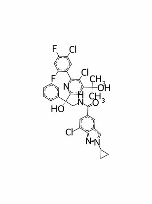 CC(C)(O)c1cc([C@@](O)(CNC(=O)c2cc(Cl)c3nn(C4CC4)cc3c2)c2ccccc2)nc(-c2cc(Cl)c(F)cc2F)c1Cl